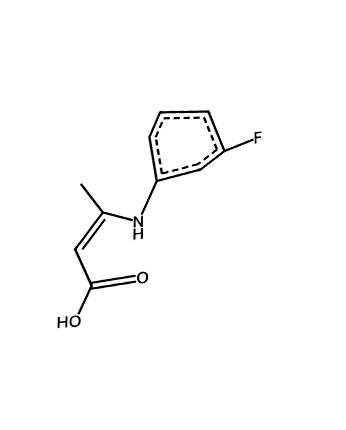 C/C(=C/C(=O)O)Nc1cccc(F)c1